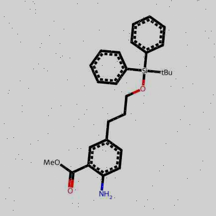 COC(=O)c1cc(CCCO[Si](c2ccccc2)(c2ccccc2)C(C)(C)C)ccc1N